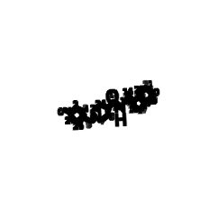 Cc1ccc(CN2CCC(C(=O)NC3CC34CCc3ccccc34)CC2)cc1